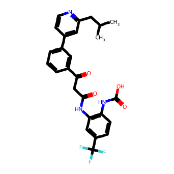 CC(C)Cc1cc(-c2cccc(C(=O)CC(=O)Nc3cc(C(F)(F)F)ccc3NC(=O)O)c2)ccn1